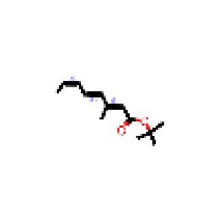 C\C=C/C=C/C(C)=C/C(=O)OC(C)(C)C